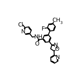 Cc1ccc(-c2cc(C(=O)NCc3ccc(Cl)nc3)cc(C3=NOC(c4ccccn4)C3)c2)c(F)c1